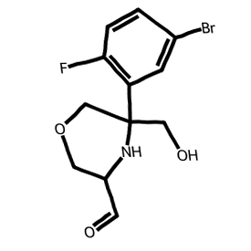 O=CC1COCC(CO)(c2cc(Br)ccc2F)N1